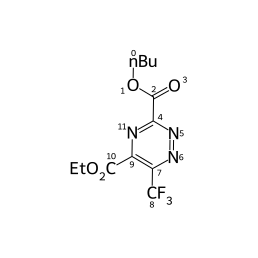 CCCCOC(=O)c1nnc(C(F)(F)F)c(C(=O)OCC)n1